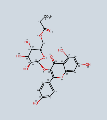 O=C(O)CC(=O)OCC1O[C@@H](Oc2c(-c3ccc(O)cc3)oc3cc(O)cc(O)c3c2=O)[C@@H](O)C(O)[C@@H]1O